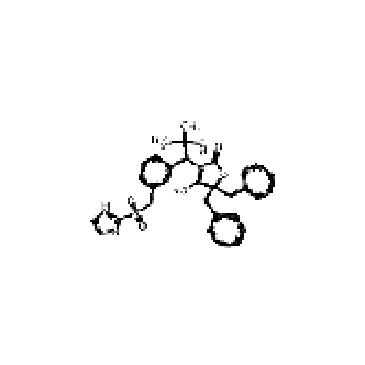 CC(C)(C)C(C1=C(O)C(Cc2ccccc2)(Cc2ccccc2)OC1=O)c1cccc(CS(=O)(=O)c2ncc[nH]2)c1